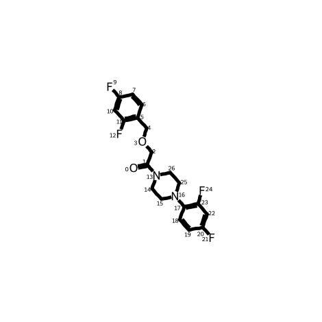 O=C(COCc1ccc(F)cc1F)N1CCN(c2ccc(F)cc2F)CC1